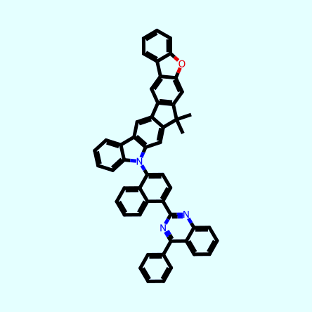 CC1(C)c2cc3oc4ccccc4c3cc2-c2cc3c4ccccc4n(-c4ccc(-c5nc(-c6ccccc6)c6ccccc6n5)c5ccccc45)c3cc21